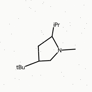 CC(C)C1CC(C(C)(C)C)CN1C